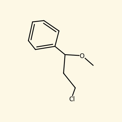 COC(CCCl)c1ccccc1